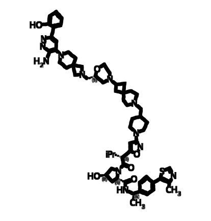 Cc1ncsc1-c1ccc([C@H](C)NC(=O)[C@@H]2C[C@@H](O)CN2C(=O)[C@@H](c2cc(N3CCC(CN4CCC5(CC4)CC(N4CCO[C@@H](CN6CC7(CCN(c8cc(-c9ccccc9O)nnc8N)CC7)C6)C4)C5)CC3)no2)C(C)C)cc1